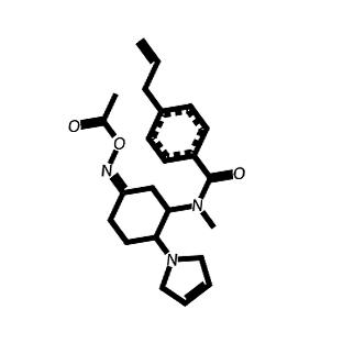 C=CCc1ccc(C(=O)N(C)C2C/C(=N\OC(C)=O)CCC2N2CC=CC2)cc1